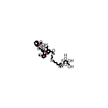 COc1cccc(OC)c1-c1cc(C(=O)NC2(C(=O)O)C3CC4CC(C3)CC2C4)nn1-c1ccc(C(=O)N(C)CCCN(C)CCCCc2cn([C@@H]3OC(CO)[C@@H](O)C(O)C3F)nn2)cc1C(C)C